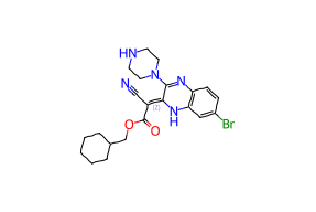 N#C/C(C(=O)OCC1CCCCC1)=C1/Nc2cc(Br)ccc2N=C1N1CCNCC1